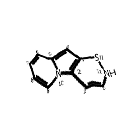 C1=Cc2c(cc3ccccn23)SN1